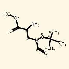 COC(=O)C(N)CN(C=O)OC(C)(C)C